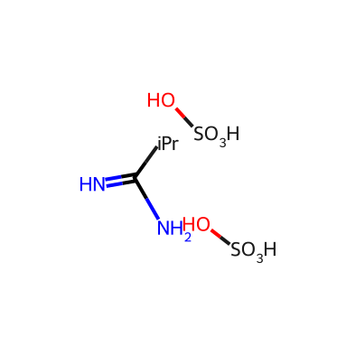 CC(C)C(=N)N.O=S(=O)(O)O.O=S(=O)(O)O